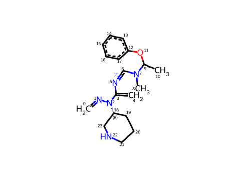 C=NN(C(=C)/N=C\N(C)C(C)Oc1ccccc1)[C@@H]1CCCNC1